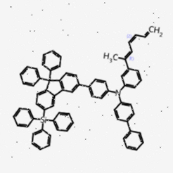 C=C/C=C\C=C(/C)c1cccc(N(c2ccc(-c3ccccc3)cc2)c2ccc(-c3ccc4c(c3)-c3cc([Si](c5ccccc5)(c5ccccc5)c5ccccc5)ccc3C4(c3ccccc3)c3ccccc3)cc2)c1